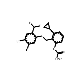 CCc1cc(C(F)F)c(OCc2c(OC(=O)OC)cccc2C2CC2)cc1F